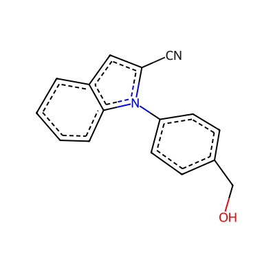 N#Cc1cc2ccccc2n1-c1ccc(CO)cc1